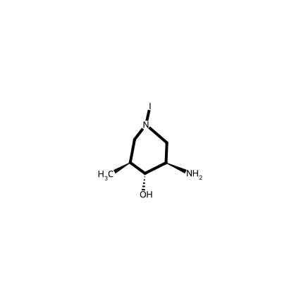 C[C@H]1CN(I)C[C@@H](N)[C@@H]1O